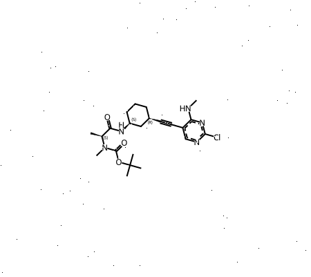 CNc1nc(Cl)ncc1C#C[C@@H]1CCC[C@H](NC(=O)[C@H](C)N(C)C(=O)OC(C)(C)C)C1